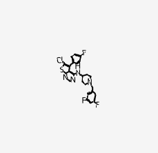 Fc1ccc(-c2c(Cl)sc3ncnc(NC4CCN(Cc5cc(F)cc(F)c5)CC4)c23)cc1